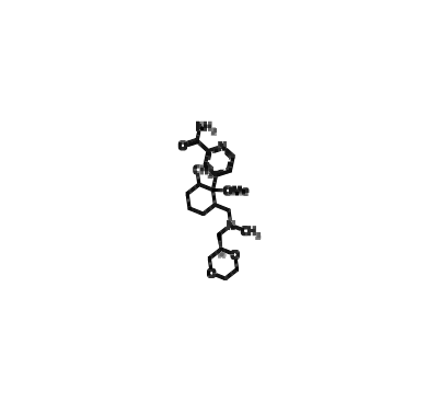 COC1(c2ccnc(C(N)=O)c2)C(C)CCCC1CN(C)C[C@@H]1COCCO1